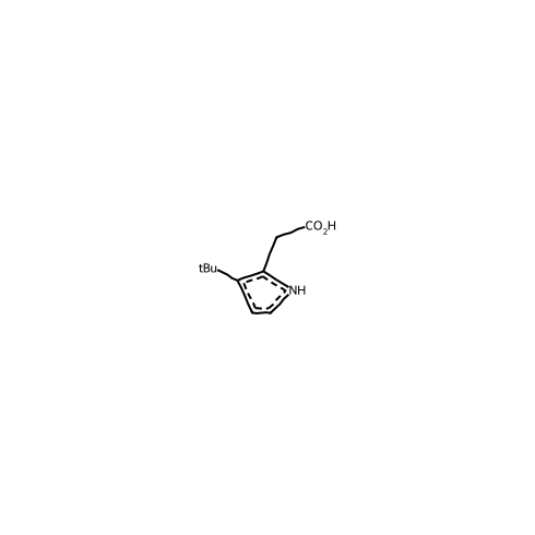 CC(C)(C)c1cc[nH]c1CC(=O)O